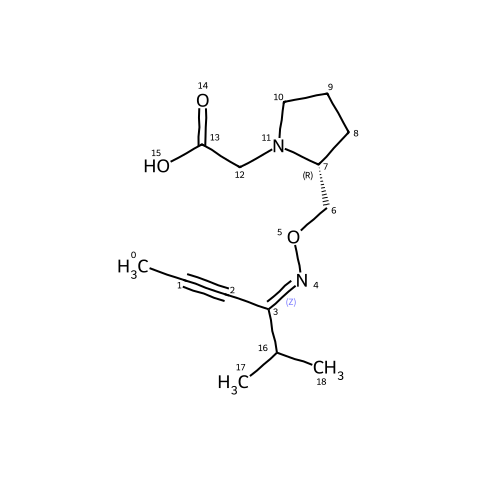 CC#C/C(=N\OC[C@H]1CCCN1CC(=O)O)C(C)C